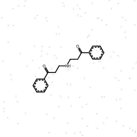 O=C(CCNCCC(=O)c1ccccc1)c1ccccc1